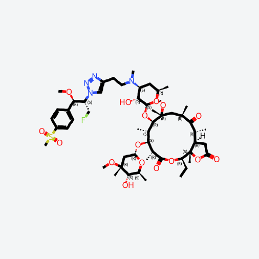 CC[C@H]1OC(=O)[C@H](C)[C@@H](O[C@H]2C[C@@](C)(OC)[C@@H](O)[C@H](C)O2)[C@H](C)[C@@H](O[C@@H]2O[C@H](C)C[C@H](N(C)CCc3cn([C@H](CF)[C@H](OC)c4ccc(S(C)(=O)=O)cc4)nn3)[C@H]2O)[C@](C)(OC)C[C@@H](C)C(=O)[C@H](C)[C@H]2CC(=O)O[C@@]21C